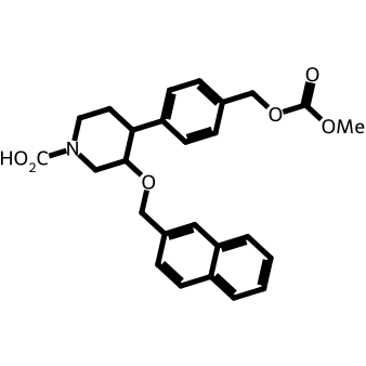 COC(=O)OCc1ccc(C2CCN(C(=O)O)CC2OCc2ccc3ccccc3c2)cc1